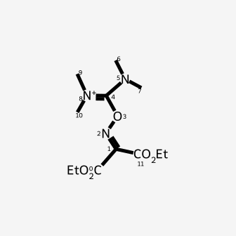 CCOC(=O)C(=NOC(N(C)C)=[N+](C)C)C(=O)OCC